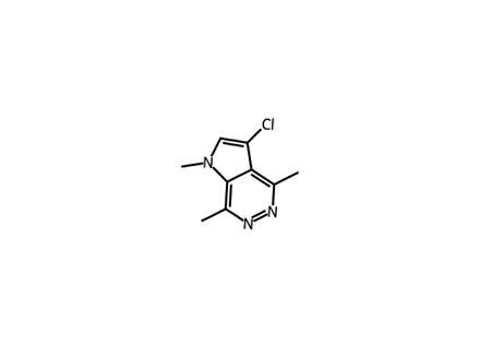 Cc1nnc(C)c2c1c(Cl)cn2C